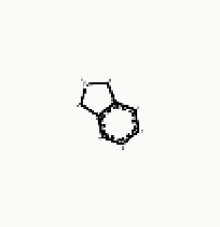 [c]1ccc2c(c1)C[N]C2